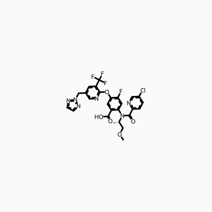 COC[C@H](C)N(C(=O)c1ccc(Cl)cn1)c1cc(F)c(Oc2ncc(Cn3nccn3)cc2C(F)(F)F)cc1C(=O)O